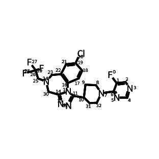 Fc1cncnc1N1CCC(c2nnc3n2-c2ccc(Cl)cc2CN(CC(F)(F)F)C3)CC1